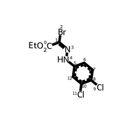 CCOC(=O)/C(Br)=N\Nc1ccc(Cl)c(Cl)c1